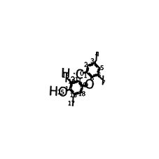 [CH2]c1cc(I)cc(I)c1Oc1cc(I)c(O)c(I)c1